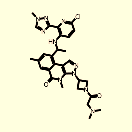 Cc1cc(C(C)Nc2ccc(Cl)nc2-c2ncn(C)n2)c2c(c1)c(=O)n(C)c1c2cnn1C1CN(C(=O)CN(C)C)C1